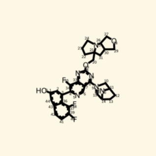 Oc1cc(-c2ncc3c(N4CC5CCC(C4)N5)nc(OCC45CCCN4C4COCC4C5)nc3c2F)c2c(F)c(F)ccc2c1